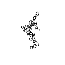 CC(C)C1=C2[C@H]3CC[C@@H]4[C@@]5(C)CC[C@H](OC(=O)[C@H]6C[C@@H](C(=O)O)C6(C)C)C(C)(C)[C@@H]5CC[C@@]4(C)[C@]3(C)CC[C@@]2(CC(=O)NCC(C)(CCN)NC(=O)c2ccc(Cl)cc2)CC1=O